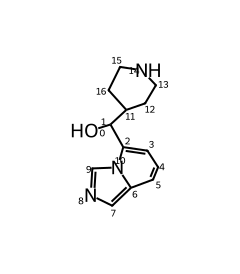 OC(c1cccc2cncn12)C1CCNCC1